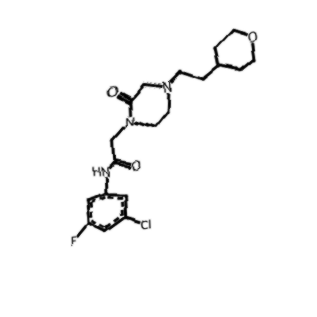 O=C(CN1CCN(CCC2CCOCC2)CC1=O)Nc1cc(F)cc(Cl)c1